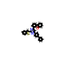 c1ccc(-c2ccc(-c3cc(-c4cccc5c4oc4ccccc45)nc(-c4cc5ccccc5s4)n3)cc2)cc1